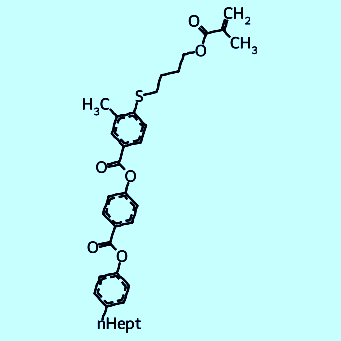 C=C(C)C(=O)OCCCCSc1ccc(C(=O)Oc2ccc(C(=O)Oc3ccc(CCCCCCC)cc3)cc2)cc1C